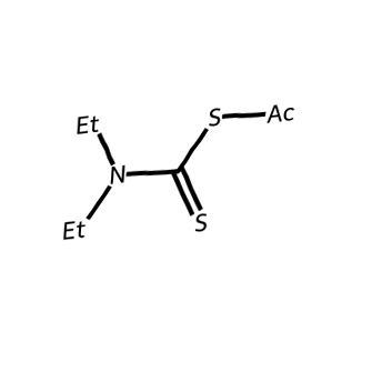 CCN(CC)C(=S)SC(C)=O